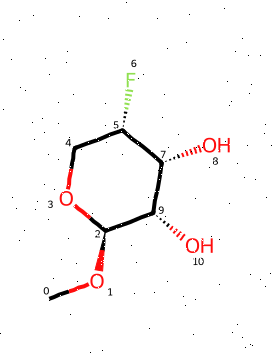 CO[C@H]1OC[C@H](F)[C@H](O)[C@@H]1O